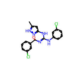 Cc1cc(N/C(=N\C(=O)c2cccc(Cl)c2)Nc2cccc(Cl)c2)n[nH]1